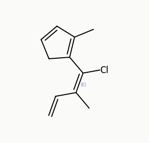 C=C/C(C)=C(/Cl)C1=C(C)C=CC1